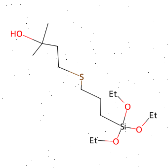 CCO[Si](CCCSCCC(C)(C)O)(OCC)OCC